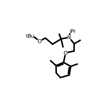 CC1=CCCC(C)=C1OCC(C)N(C(C)C)C(C)(C)CCOC(C)(C)C